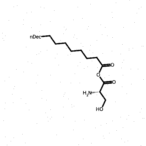 CCCCCCCCCCCCCCCCCC(=O)OC(=O)[C@@H](N)CO